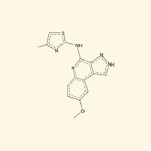 COc1ccc2nc(Nc3nc(C)cs3)c3n[nH]cc3c2c1